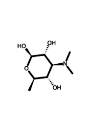 C[C@H]1O[C@@H](O)[C@H](O)[C@@H](N(C)C)[C@@H]1O